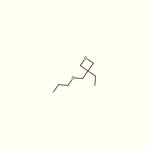 CC[CH]OCC1(CC)COC1